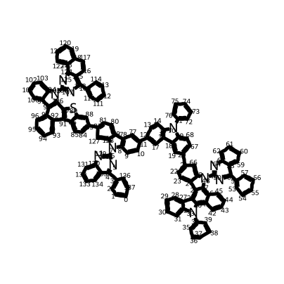 c1ccc(-c2nc(-n3c4ccc(-c5ccc6c(c5)c5cc(-c7ccc8c9c%10c%11ccccc%11n(-c%11ccccc%11)c%10c%10ccccc%10c9n(-c9nc(-c%10ccccc%10)c%10ccccc%10n9)c8c7)ccc5n6-c5ccccc5)cc4c4ccc(-c5ccc6c(c5)sc5c6c6ccccc6c6c7ccccc7n(-c7nc(-c8ccccc8)c8ccc9ccccc9c8n7)c56)cc43)nc3ccccc23)cc1